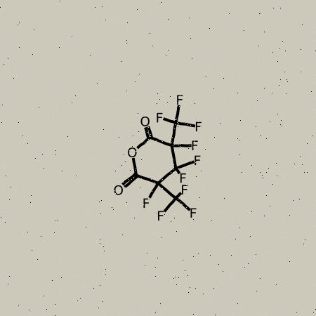 O=C1OC(=O)C(F)(C(F)(F)F)C(F)(F)C1(F)C(F)(F)F